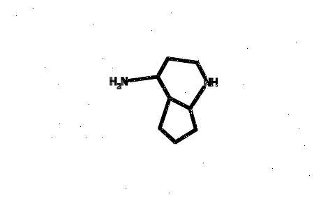 NC1CCNC2CCCC12